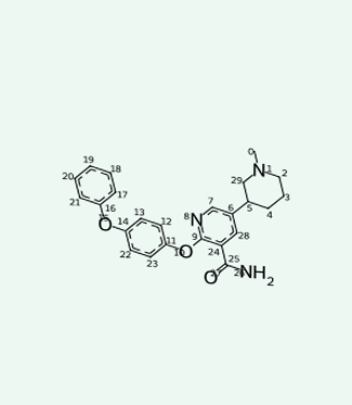 CN1CCCC(c2cnc(Oc3ccc(Oc4ccccc4)cc3)c(C(N)=O)c2)C1